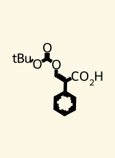 CC(C)(C)OC(=O)OC=C(C(=O)O)c1ccccc1